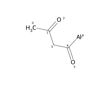 CC(=O)C[C](=O)[Al]